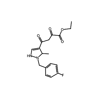 CCOC(=O)C(=O)CC(=O)C1=CNN(Cc2ccc(F)cc2)C1C